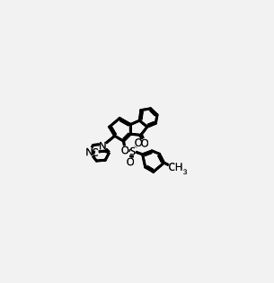 Cc1ccc(S(=O)(=O)Oc2c(N3CCN4CCC3CC4)ccc3c2C(=O)c2ccccc2-3)cc1